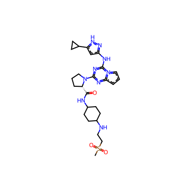 CS(=O)(=O)CCNC1CCC(NC(=O)[C@@H]2CCCN2c2nc(Nc3cc(C4CC4)[nH]n3)n3cccc3n2)CC1